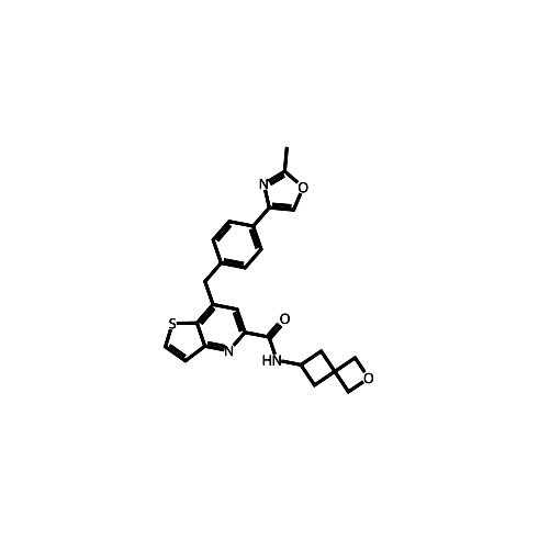 Cc1nc(-c2ccc(Cc3cc(C(=O)NC4CC5(COC5)C4)nc4ccsc34)cc2)co1